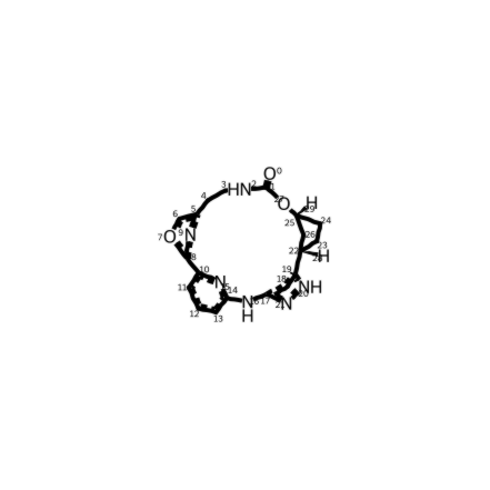 O=C1NCCc2coc(n2)-c2cccc(n2)Nc2cc([nH]n2)[C@H]2CC[C@H](C2)O1